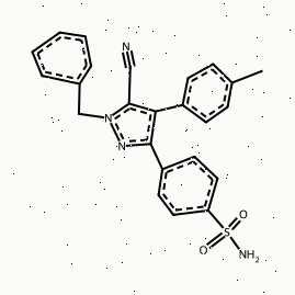 Cc1ccc(-c2c(-c3ccc(S(N)(=O)=O)cc3)nn(Cc3ccccc3)c2C#N)cc1